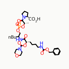 CCCCC(CO[PH](=O)O[C@@H](C)C(=O)N1CCC[C@H]1C(=O)O)NC(=O)[C@H](CCCCNC(=O)OCc1ccccc1)OC(=O)N1CCOCC1